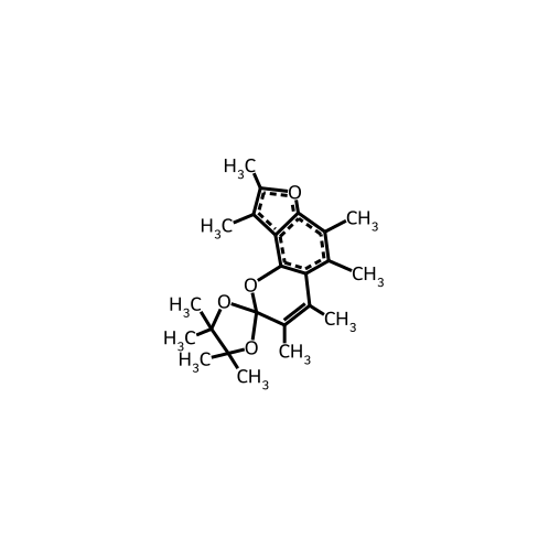 CC1=C(C)C2(Oc3c1c(C)c(C)c1oc(C)c(C)c31)OC(C)(C)C(C)(C)O2